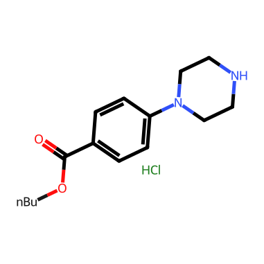 CCCCOC(=O)c1ccc(N2CCNCC2)cc1.Cl